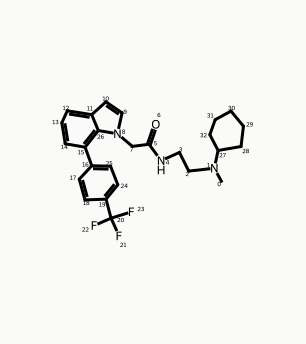 CN(CCNC(=O)Cn1ccc2cccc(-c3ccc(C(F)(F)F)cc3)c21)C1CCCCC1